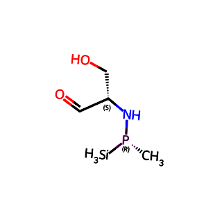 C[P@]([SiH3])N[C@H](C=O)CO